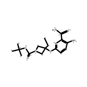 CCC1(Oc2ccc(N)c(C(N)=O)n2)CN(C(=O)OC(C)(C)C)C1